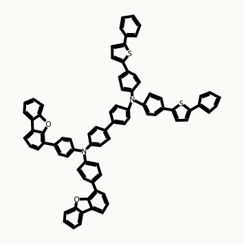 c1ccc(-c2ccc(-c3ccc(N(c4ccc(-c5ccc(N(c6ccc(-c7cccc8c7oc7ccccc78)cc6)c6ccc(-c7cccc8c7oc7ccccc78)cc6)cc5)cc4)c4ccc(-c5ccc(-c6ccccc6)s5)cc4)cc3)s2)cc1